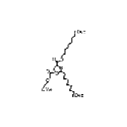 CCCCCCCCCCCCCCCCCCOC(=O)C(COC(=O)COCCOC)NC(=O)CCCCCCCCCCCCCCCCC